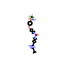 N=S(=O)(c1ccc(OC2CC3(C2)CN(C(=O)N2CC4(CC(c5nc(C6CC6)n[nH]5)C4)C2)C3)cc1)C(F)(F)F